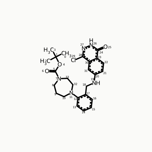 CC(C)(C)OC(=O)N1CCCN(c2ccccc2CNc2ccc3c(=O)[nH]nc(Cl)c3c2)CC1